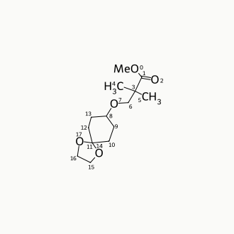 COC(=O)C(C)(C)COC1CCC2(CC1)OCCO2